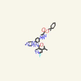 CC(C)c1cc(F)ncc1C(=O)Nc1cc(-n2cc(C(=O)OCC3(C)CCCCC3)nn2)ccc1N1CCN(C)CC1